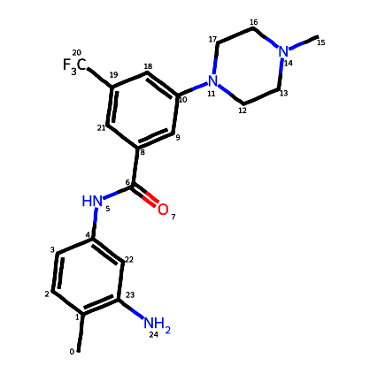 Cc1ccc(NC(=O)c2cc(N3CCN(C)CC3)cc(C(F)(F)F)c2)cc1N